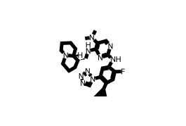 CN(C)c1cnc(Nc2cc(-n3cnnn3)c(C3CC3)cc2F)nc1NC[C@@H]1CCCN2CCCC[C@H]12